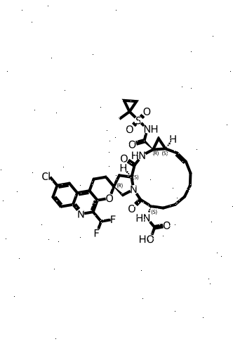 CC1(S(=O)(=O)NC(=O)[C@@]23C[C@H]2C=CCCCCC[C@H](NC(=O)O)C(=O)N2C[C@@]4(CCc5c(c(C(F)F)nc6ccc(Cl)cc56)O4)C[C@H]2C(=O)N3)CC1